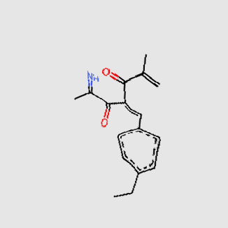 C=C(C)C(=O)/C(=C/c1ccc(CC)cc1)C(=O)C(C)=N